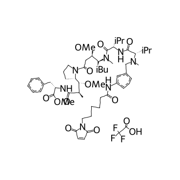 CC[C@H](C)[C@@H]([C@@H](CC(=O)N1CCC[C@H]1[C@H](OC)[C@@H](C)C(=O)N[C@@H](Cc1ccccc1)C(=O)OC)OC)N(C)C(=O)[C@@H](NC(=O)[C@H](C(C)C)N(C)Cc1cccc(NC(=O)CCCCCN2C(=O)C=CC2=O)c1)C(C)C.O=C(O)C(F)(F)F